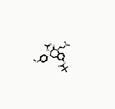 COc1ccc([C@H]2Cc3cc(OC(=O)C(C)(C)C)ccc3N(CCN(C)C)C(=O)[C@H]2OC(C)=O)cc1